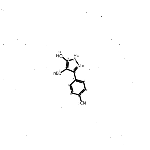 CCCCc1c(-c2ccc(C#N)cc2)n[nH]c1O